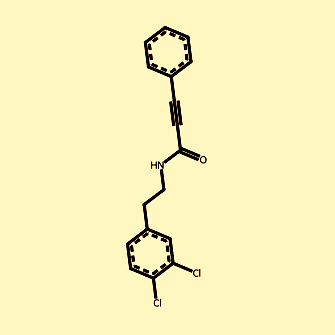 O=C(C#Cc1ccccc1)NCCc1ccc(Cl)c(Cl)c1